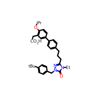 CCn1c(CCCc2ccc(-c3ccc(OC(C)C)c(CC(=O)O)c3)cc2)nn(Cc2ccc(C(C)(C)C)cc2)c1=O